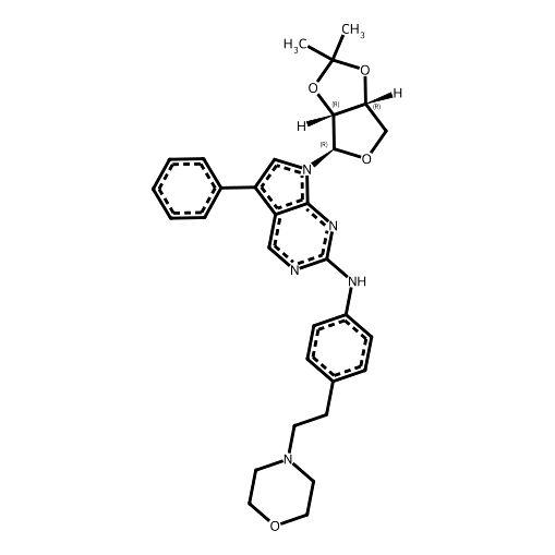 CC1(C)O[C@H]2[C@H](n3cc(-c4ccccc4)c4cnc(Nc5ccc(CCN6CCOCC6)cc5)nc43)OC[C@H]2O1